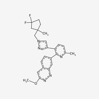 COc1cc2ccc(-c3nc(C)ccc3-c3cnn(CC4(C)CCC(F)(F)C4)c3)cc2nn1